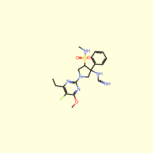 CCc1nc(N2CC(S(=O)(=O)NC)C(NC=N)(c3ccccc3)C2)nc(OC)c1F